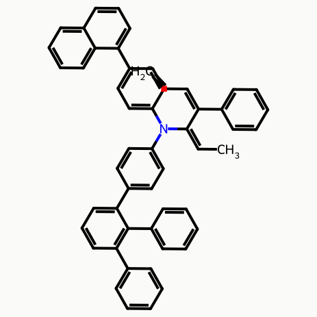 C=C/C=C(\C(=C/C)N(c1ccc(-c2cccc(-c3ccccc3)c2-c2ccccc2)cc1)c1ccc(-c2cccc3ccccc23)cc1)c1ccccc1